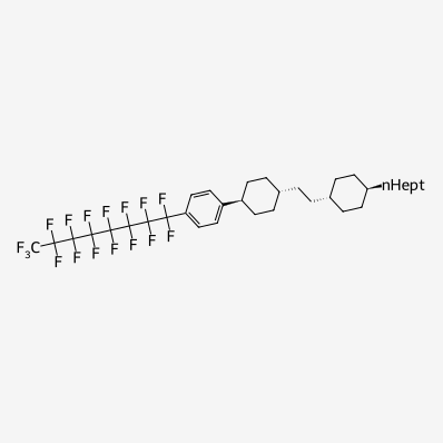 CCCCCCC[C@H]1CC[C@H](CC[C@H]2CC[C@H](c3ccc(C(F)(F)C(F)(F)C(F)(F)C(F)(F)C(F)(F)C(F)(F)C(F)(F)C(F)(F)F)cc3)CC2)CC1